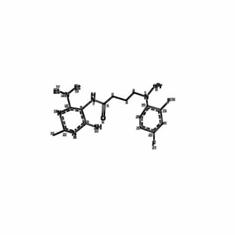 CCCN(CCCC(=O)Nc1c(S)nc(C)nc1N(CC)CC)c1ccc(F)cc1F